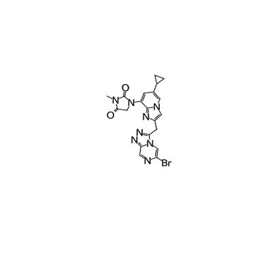 CN1C(=O)CN(c2cc(C3CC3)cn3cc(Cc4nnc5cnc(Br)cn45)nc23)C1=O